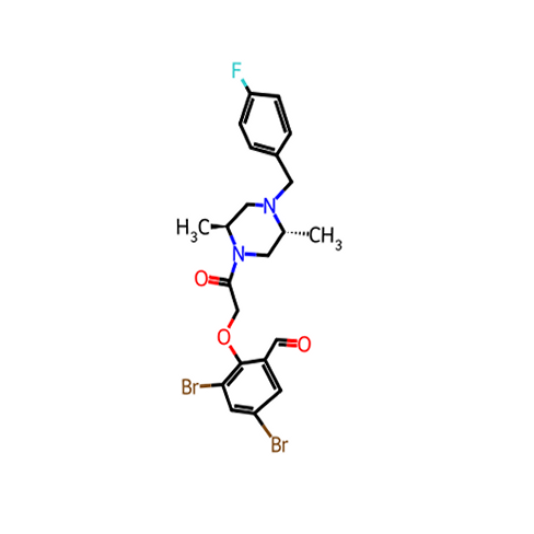 C[C@@H]1CN(C(=O)COc2c(Br)cc(Br)cc2C=O)[C@@H](C)CN1Cc1ccc(F)cc1